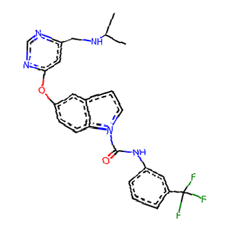 CC(C)NCc1cc(Oc2ccc3c(ccn3C(=O)Nc3cccc(C(F)(F)F)c3)c2)ncn1